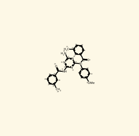 COc1ccc(N(C(=O)c2cccc(C)c2)c2nc(N)nc(NC(=O)c3cccc(C)c3)n2)cc1